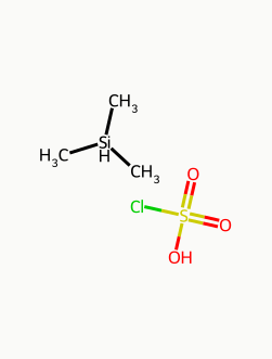 C[SiH](C)C.O=S(=O)(O)Cl